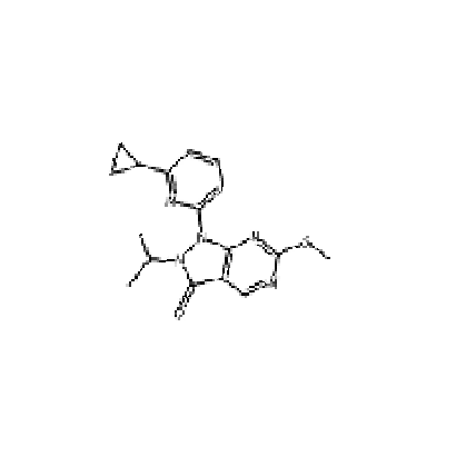 CSc1ncc2c(=O)n(C(C)C)n(-c3cccc(C4CC4)n3)c2n1